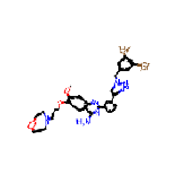 COc1cc2nc(-c3cccc(-c4cn(Cc5cc(Br)cc(Br)c5)nn4)c3)nc(N)c2cc1OCCCN1CCOCC1